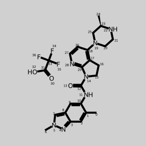 Cc1cc2nn(C)cc2cc1NC(=O)N1CCc2c(N3CCN[C@H](C)C3)ccnc21.O=C(O)C(F)(F)F